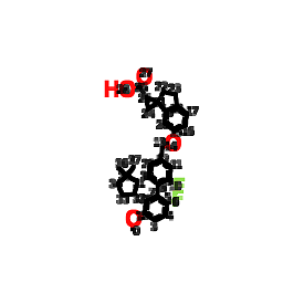 COc1ccc(F)c(-c2c(F)cc(COc3ccc4c(c3)[C@]3(CC4)C[C@H]3C(=O)O)cc2[C@@H]2CCCC2(C)C)c1